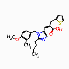 CCCCc1ncc(C=C(Cc2cccs2)C(=O)O)n1Cc1ccc(OC)c(C)c1